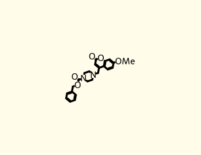 COc1ccc2c(CN3CCN(C(=O)OCc4ccccc4)CC3)cc(=O)oc2c1